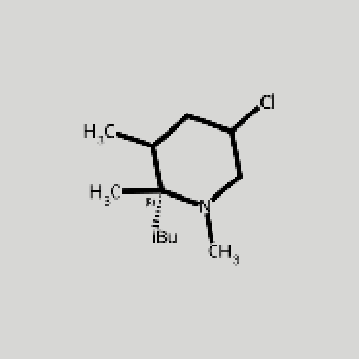 CCC(C)[C@]1(C)C(C)CC(Cl)CN1C